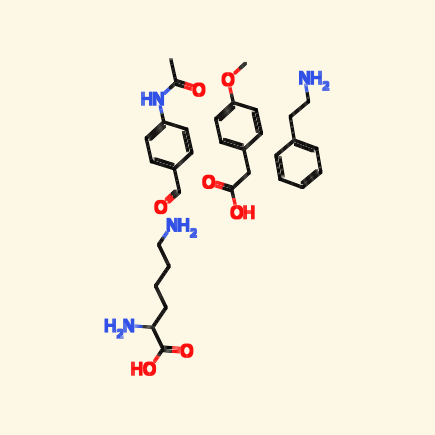 CC(=O)Nc1ccc(C=O)cc1.COc1ccc(CC(=O)O)cc1.NCCCCC(N)C(=O)O.NCCc1ccccc1